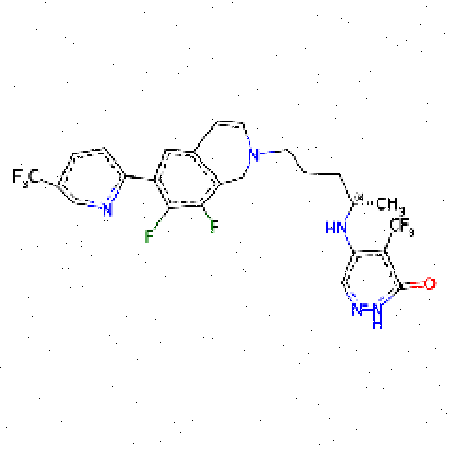 C[C@@H](CCCN1C=Cc2cc(-c3ccc(C(F)(F)F)cn3)c(F)c(F)c2C1)Nc1cn[nH]c(=O)c1C(F)(F)F